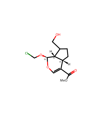 COC(=O)C1=CO[C@@H](OCCl)[C@@H]2C(CO)CC[C@H]12